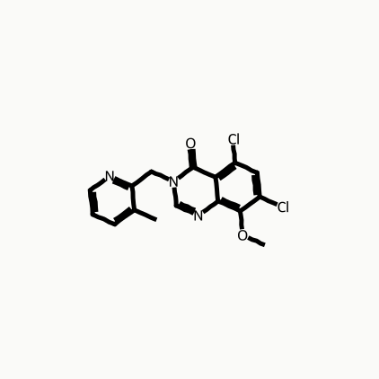 COc1c(Cl)cc(Cl)c2c(=O)n(Cc3ncccc3C)cnc12